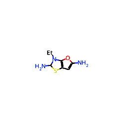 CCN1c2oc(N)cc2SC1N